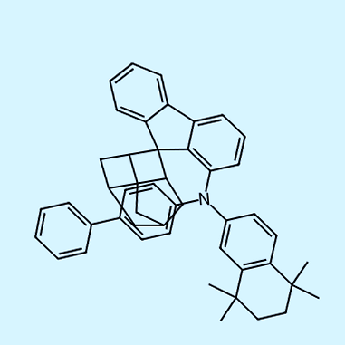 CC1(C)CCC(C)(C)c2cc(N(c3ccc(-c4ccccc4)cc3)c3cccc4c3C3(c5ccccc5-4)C4CC5CC6CC3C64C5)ccc21